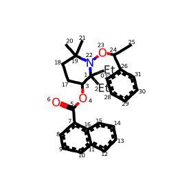 CCC1(CC)C(OC(=O)c2cccc3ccccc23)CCC(C)(C)N1OC(C)c1ccccc1